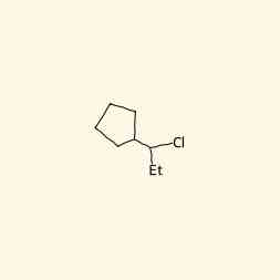 CCC(Cl)C1CCCC1